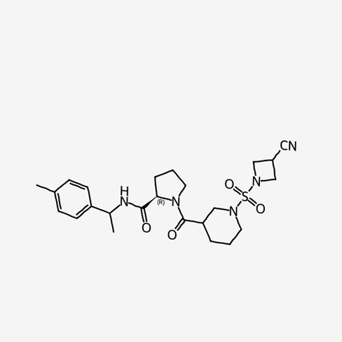 Cc1ccc(C(C)NC(=O)[C@H]2CCCN2C(=O)C2CCCN(S(=O)(=O)N3CC(C#N)C3)C2)cc1